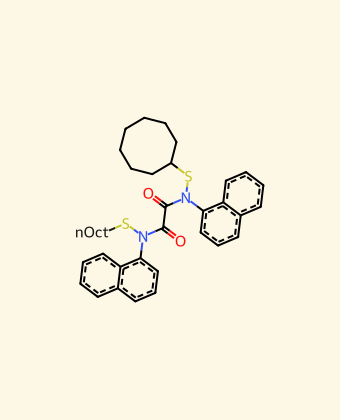 CCCCCCCCSN(C(=O)C(=O)N(SC1CCCCCCC1)c1cccc2ccccc12)c1cccc2ccccc12